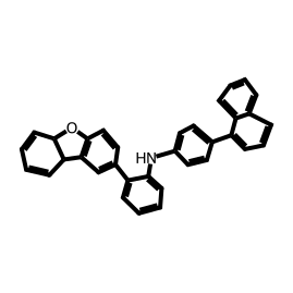 C1=CC2Oc3ccc(-c4ccccc4Nc4ccc(-c5cccc6ccccc56)cc4)cc3C2C=C1